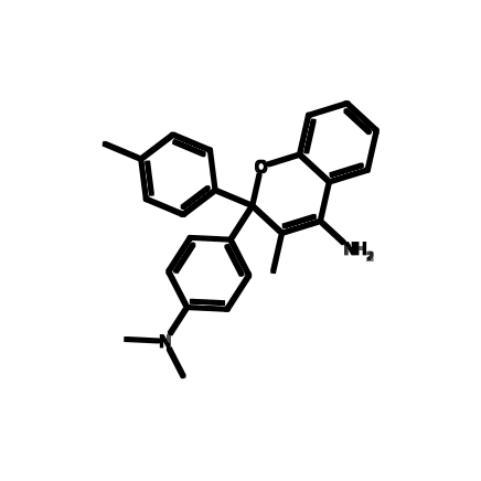 CC1=C(N)c2ccccc2OC1(c1ccc(C)cc1)c1ccc(N(C)C)cc1